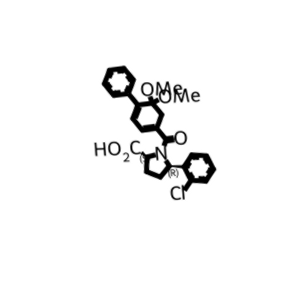 COC1(OC)CC(C(=O)N2[C@@H](c3ccccc3Cl)CC[C@H]2C(=O)O)=CC=C1c1ccccc1